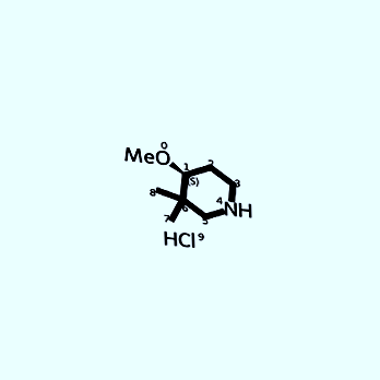 CO[C@H]1CCNCC1(C)C.Cl